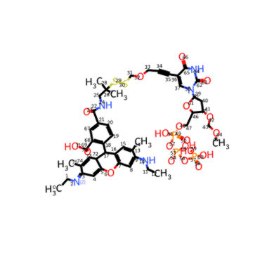 CC/N=C1/C=C2Oc3cc(NCC)c(C)cc3C(c3ccc(C(=O)NCC(C)(C)SSCOCC#Cc4cn([C@H]5C[C@@H](OCOC)C(COP(=O)(O)OP(=O)(O)OP(=O)(O)O)O5)c(=O)[nH]c4=O)cc3C(=O)O)C2C=C1C